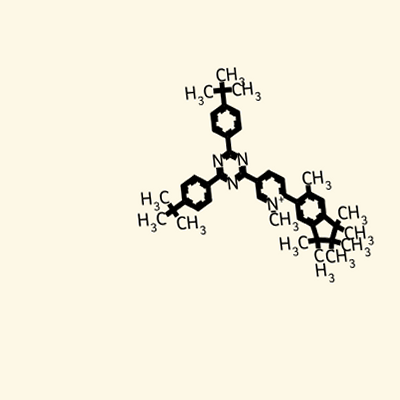 Cc1cc2c(cc1-c1ccc(-c3nc(-c4ccc(C(C)(C)C)cc4)nc(-c4ccc(C(C)(C)C)cc4)n3)c[n+]1C)C(C)(C)C(C)(C)C2(C)C